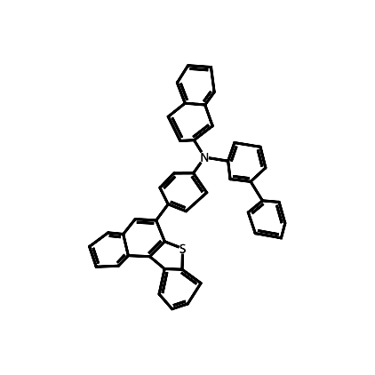 c1ccc(-c2cccc(N(c3ccc(-c4cc5ccccc5c5c4sc4ccccc45)cc3)c3ccc4ccccc4c3)c2)cc1